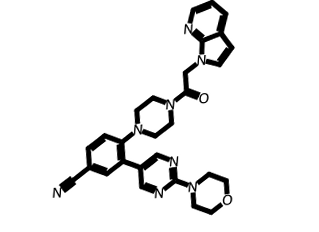 N#Cc1ccc(N2CCN(C(=O)Cn3ccc4cccnc43)CC2)c(-c2cnc(N3CCOCC3)nc2)c1